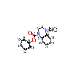 O=NN1CCN(C(=O)Oc2ccccc2)c2ccccc21